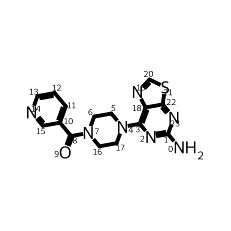 Nc1nc(N2CCN(C(=O)c3cccnc3)CC2)c2ncsc2n1